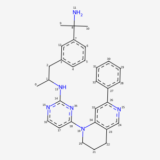 CC(Cc1cccc(C(C)(C)N)c1)Nc1nccc(N2CCCc3cnc(-c4ccccc4)cc32)n1